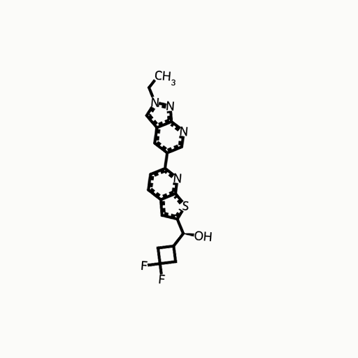 CCn1cc2cc(-c3ccc4cc([C@@H](O)C5CC(F)(F)C5)sc4n3)cnc2n1